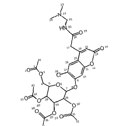 CC(=O)OCC1OC(Oc2cc3oc(=O)cc(CC(=O)NCN(C)C)c3cc2Cl)C(OC(C)=O)C(OC(C)=O)C1OC(C)=O